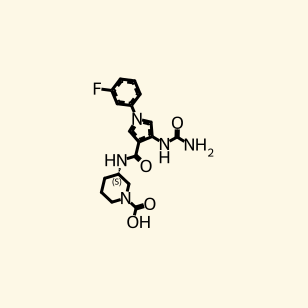 NC(=O)Nc1cn(-c2cccc(F)c2)cc1C(=O)N[C@H]1CCCN(C(=O)O)C1